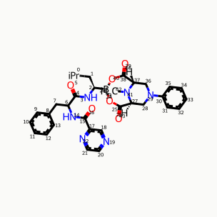 CC(C)C[C@H](NC(=O)C(Cc1ccccc1)NC(=O)c1cnccn1)B1OC(=O)[C@@H]2CN(c3ccccc3)C[C@@H](C(=O)O1)N2C